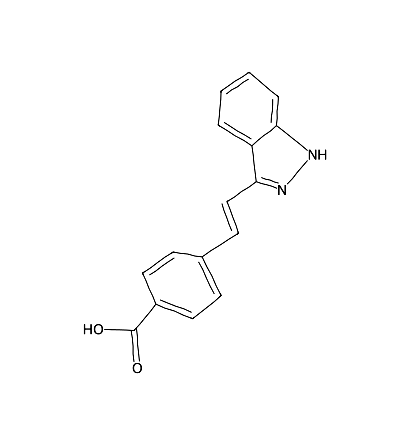 O=C(O)c1ccc(C=Cc2n[nH]c3ccccc23)cc1